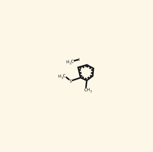 CI.CSc1ccccc1C